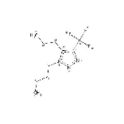 CCCCn1nnc(C(F)(F)F)c1CCC